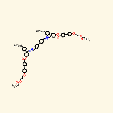 C=CC(=O)OCCCOc1ccc(-c2ccc(C(=O)OC3CCC(/C=N/N=C/c4ccc(-c5ccc(/C=N/N=C/C6(c7ccc(CCCCC)cc7)CCC(OC(=O)c7ccc(-c8ccc(OCCCOC(=O)C=C)cc8)cc7)CC6)cc5)cc4)(c4ccc(CCCCC)cc4)CC3)cc2)cc1